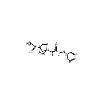 NC(=O)C12CCC(NC(=O)OCc3ccccc3)(CC1)C2